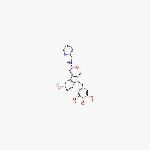 COC1=CC(=CC2=C(C)C(=CC(=O)NCc3ccccn3)c3cc(OC)ccc32)C=C(OC)C1=O